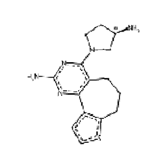 Nc1nc2c(c(N3CC[C@@H](N)C3)n1)CCCc1sccc1-2